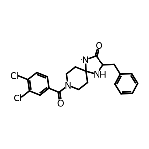 O=C1[N]C2(CCN(C(=O)c3ccc(Cl)c(Cl)c3)CC2)NC1Cc1ccccc1